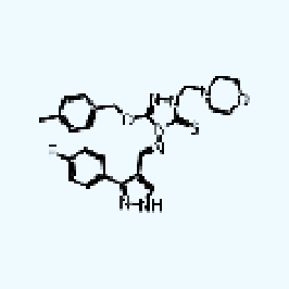 Cc1ccc(COc2nn(CN3CCOCC3)c(=S)n2N=Cc2c[nH]nc2-c2ccc(F)cc2)cc1